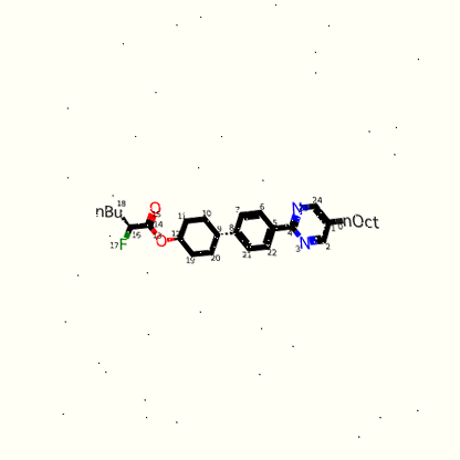 CCCCCCCCc1cnc(-c2ccc([C@H]3CC[C@H](OC(=O)[C@@H](F)CCCC)CC3)cc2)nc1